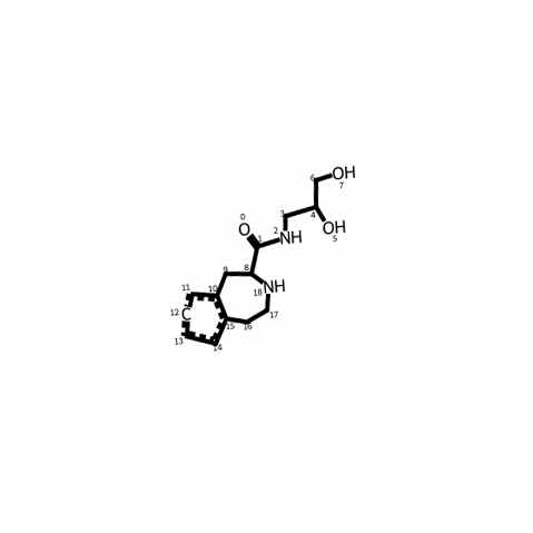 O=C(NCC(O)CO)C1Cc2ccccc2CCN1